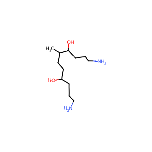 CC(CCC(O)CCCN)C(O)CCCN